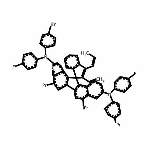 C=CC1=C(/C=C\C)c2ccccc2C12c1c(cc(C(C)C)c3cc(N(c4ccc(F)cc4)c4ccc(C(C)C)cc4)ccc13)-c1cc(C(C)C)c3cc(N(c4ccc(F)cc4)c4ccc(C(C)C)cc4)ccc3c12